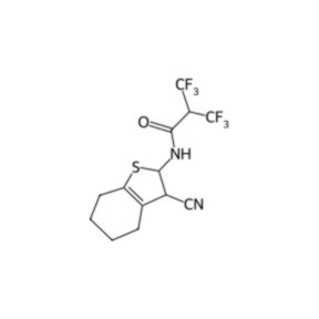 N#CC1C2=C(CCCC2)SC1NC(=O)C(C(F)(F)F)C(F)(F)F